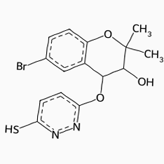 CC1(C)Oc2ccc(Br)cc2C(Oc2ccc(S)nn2)C1O